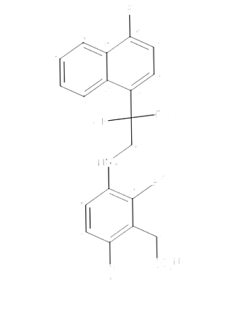 O=C(O)Cc1c(Cl)ccc(NCC(F)(F)c2ccc(F)c3ccccc23)c1F